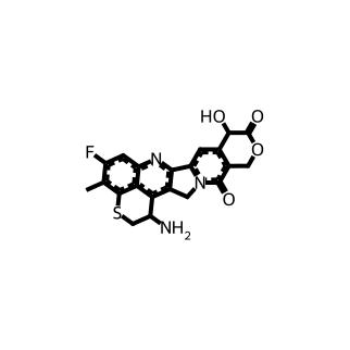 Cc1c(F)cc2nc3c(c4c2c1SCC4N)Cn1c-3cc2c(c1=O)COC(=O)C2O